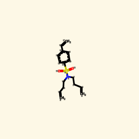 C=CCCN(CCC=C)S(=O)(=O)c1ccc(C=C)cc1